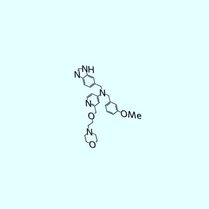 COc1cccc(CN(Cc2ccc3nc[nH]c3c2)c2ccnc(COCCN3CCOCC3)c2)c1